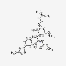 COC(=O)/N=C(\SC)C(=Nc1ccc(-c2noc(C)n2)cc1)c1cc(OC)cc(OCCN(C)C)c1F